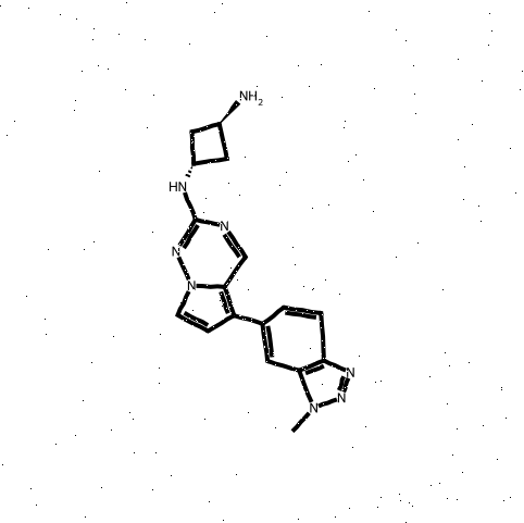 Cn1nnc2ccc(-c3ccn4nc(N[C@H]5C[C@H](N)C5)ncc34)cc21